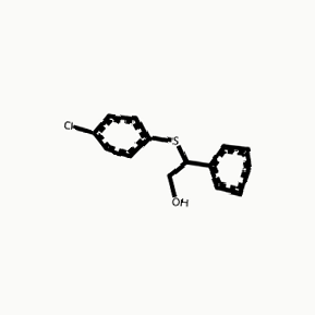 OCC(Sc1ccc(Cl)cc1)c1ccccc1